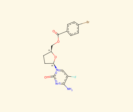 Nc1nc(=O)n([C@H]2CC[C@@H](COC(=O)c3ccc(Br)cc3)O2)cc1F